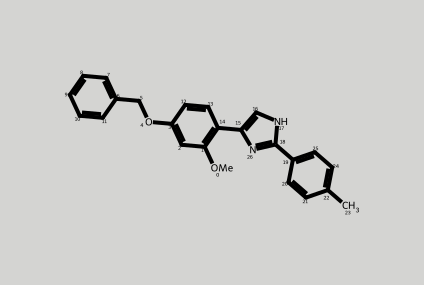 COc1cc(OCc2ccccc2)ccc1-c1c[nH]c(-c2ccc(C)cc2)n1